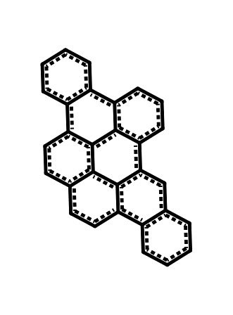 c1ccc2c(c1)cc1c3cccc4c5ccccc5c5ccc6ccc2c1c6c5c43